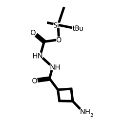 CC(C)(C)[Si](C)(C)OC(=O)NNC(=O)C1CC(N)C1